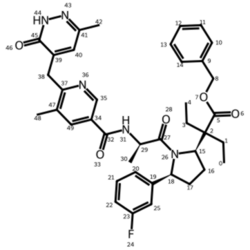 CCC(CC)(C(=O)OCc1ccccc1)[C@H]1CC[C@@H](c2cccc(F)c2)N1C(=O)[C@@H](C)NC(=O)c1cnc(Cc2cc(C)n[nH]c2=O)c(C)c1